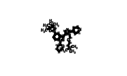 CC1(C)OB(c2ccc3c(c2)c(-c2cnc(-c4ccncc4)n2COCC[Si](C)(C)C)nn3C2CCCCO2)OC1(C)C